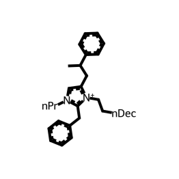 CCCCCCCCCCCC[n+]1c(CC(C)c2ccccc2)cn(CCC)c1Cc1ccccc1